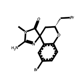 CC(C)C[C@H]1CC2(N=C(N)N(C)C2=O)c2cc(Br)ccc2O1